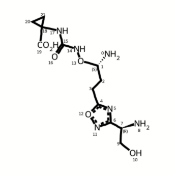 N[C@H](CCc1nc([C@@H](N)CO)no1)ONC(=O)NC1(C(=O)O)CC1